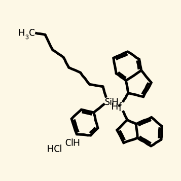 CCCCCCCC[SiH](c1ccccc1)[Hf]([CH]1C=Cc2ccccc21)[CH]1C=Cc2ccccc21.Cl.Cl